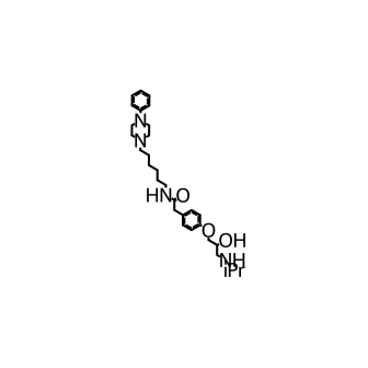 CC(C)NCC(O)COc1ccc(CC(=O)NCCCCCCN2CCN(c3ccccc3)CC2)cc1